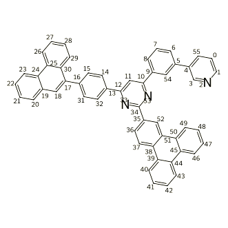 c1cncc(-c2cccc(-c3cc(-c4ccc(-c5cc6ccccc6c6ccccc56)cc4)nc(-c4ccc5c6ccccc6c6ccccc6c5c4)n3)c2)c1